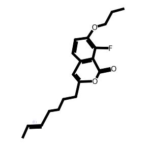 C/C=C/CCCCc1cc2ccc(OCCC)c(F)c2c(=O)o1